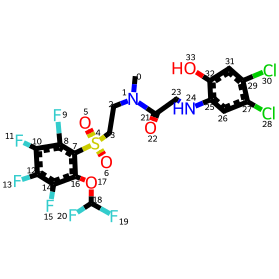 CN(CCS(=O)(=O)c1c(F)c(F)c(F)c(F)c1OC(F)F)C(=O)CNc1cc(Cl)c(Cl)cc1O